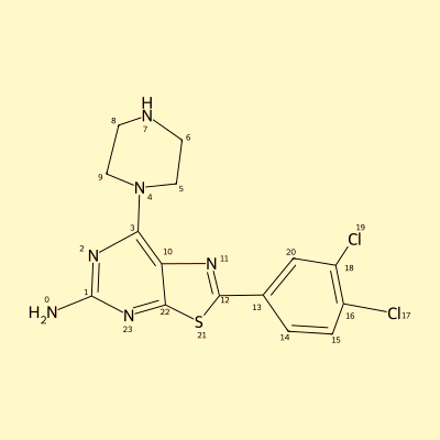 Nc1nc(N2CCNCC2)c2nc(-c3ccc(Cl)c(Cl)c3)sc2n1